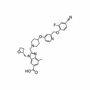 Cc1cc(C(=O)O)cc2c1nc(CN1CCC(Oc3ccnc(COc4ccc(C#N)cc4F)c3)CC1)n2C[C@@H]1CCO1